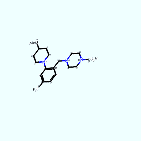 COC1CCN(c2cc(C(F)(F)F)ccc2CN2CCN(C(=O)O)CC2)CC1